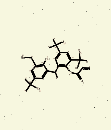 C=CC(=O)Oc1c(C(C)c2cc(C(C)(C)CC)cc(CC(C)CC)c2O)cc(C(C)(C)CC)cc1C(C)(C)CC